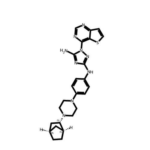 Nc1nc(Nc2ccc(N3CCN([C@H]4C[C@@H]5CC[C@H]4C5)CC3)cc2)nn1-c1ncnc2ccsc12